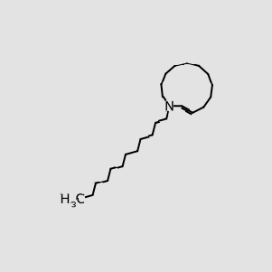 CCCCCCCCCCCCN1/C=C/CCCCCCCCCC1